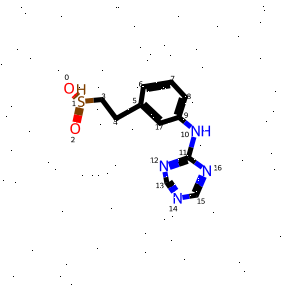 O=[SH](=O)CCc1cccc(Nc2ncncn2)c1